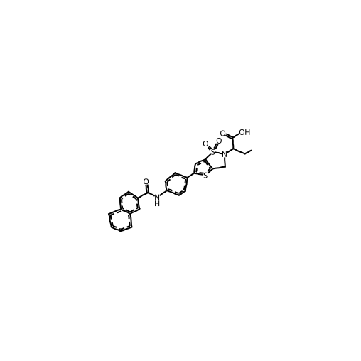 CCC(C(=O)O)N1Cc2sc(-c3ccc(NC(=O)c4ccc5ccccc5c4)cc3)cc2S1(=O)=O